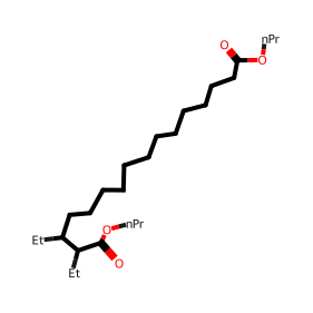 CCCOC(=O)CCCCCCCCCCCCC(CC)C(CC)C(=O)OCCC